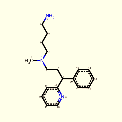 CN(CCCCN)CCC(c1ccccc1)c1ccccn1